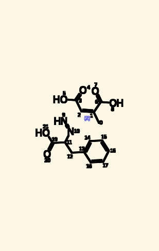 C/C(=C/C(=O)O)C(=O)O.N=NC(Cc1ccccc1)C(=O)O